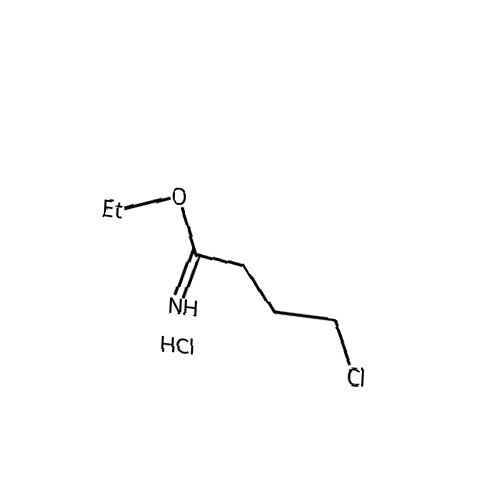 CCOC(=N)CCCCl.Cl